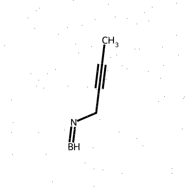 B=NCC#CC